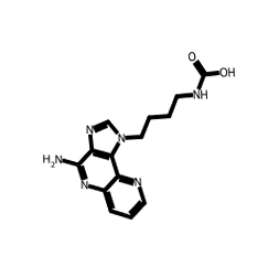 Nc1nc2cccnc2c2c1ncn2CCCCNC(=O)O